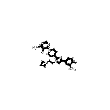 Cc1cc(-c2cn(CCN3CCC3)c(C3CCN(c4ncnc(N)c4Cl)CC3)n2)ccc1F